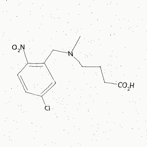 CN(CCCC(=O)O)Cc1cc(Cl)ccc1[N+](=O)[O-]